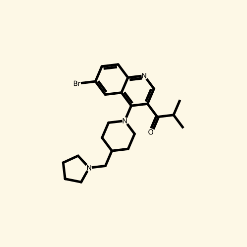 CC(C)C(=O)c1cnc2ccc(Br)cc2c1N1CCC(CN2CCCC2)CC1